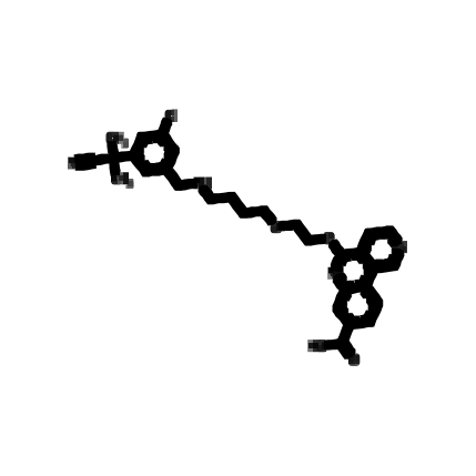 CC(C)(C#N)c1cc(Cl)cc(CNCCCCOCCOc2nc3cc(C(=O)O)ccc3c3cnccc23)c1